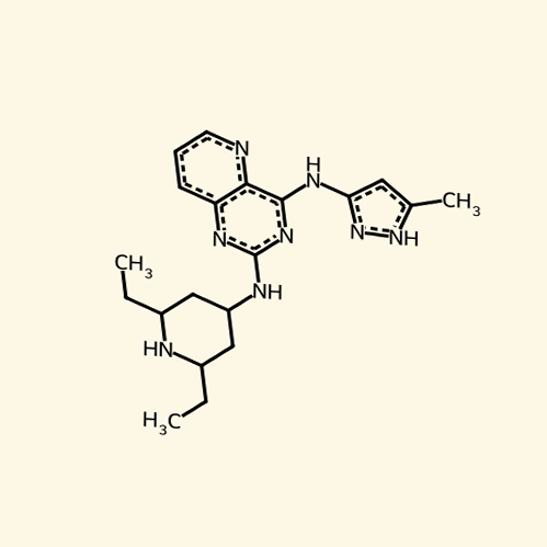 CCC1CC(Nc2nc(Nc3cc(C)[nH]n3)c3ncccc3n2)CC(CC)N1